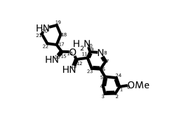 COc1cccc(-c2cnc(N)c(C(=N)OC(=N)C3CCNCC3)c2)c1